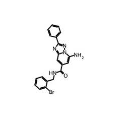 Nc1cc(C(=O)NCc2ccccc2Br)cc2nc(-c3ccccc3)nn12